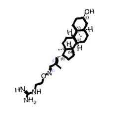 CC(/C=N/OCCNC(=N)N)=C\[C@H]1CC[C@H]2[C@@H]3CC[C@@H]4C[C@@H](O)CC[C@]4(C)[C@H]3CC[C@]12C